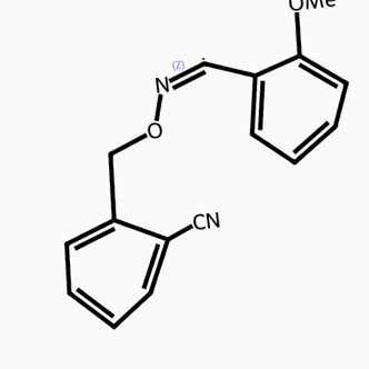 COc1ccccc1/[C]=N\OCc1ccccc1C#N